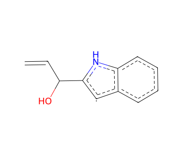 C=CC(O)c1[c]c2ccccc2[nH]1